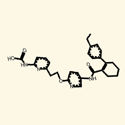 CCc1ccc(C2=C(C(=O)Nc3ccc(OCCc4cccc(NC(=O)O)n4)nc3)CCCC2)cc1